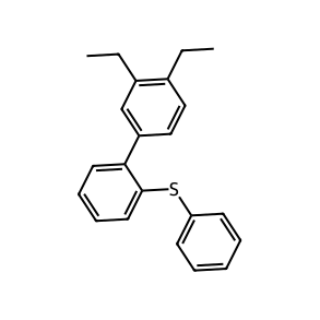 CCc1ccc(-c2ccccc2Sc2ccccc2)cc1CC